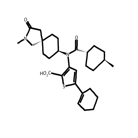 CN1C[C@]2(CC[C@H](N(c3cc(C4=CCCCC4)sc3C(=O)O)C(=O)[C@H]3CC[C@H](C)CC3)CC2)CC1=O